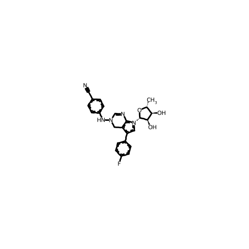 C[C@H]1O[C@@H](n2cc(-c3ccc(F)cc3)c3c2N=CN(Nc2ccc(C#N)cc2)C3)[C@H](O)[C@@H]1O